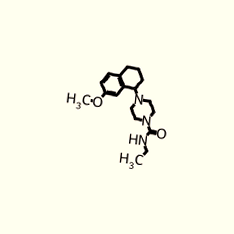 CCNC(=O)N1CCN(C2CCCc3ccc(OC)cc32)CC1